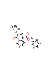 O=C1c2ccccc2N(C(=O)OCc2ccccc2)CC1CC[N+](=O)[O-]